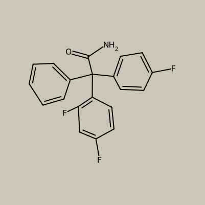 NC(=O)C(c1ccccc1)(c1ccc(F)cc1)c1ccc(F)cc1F